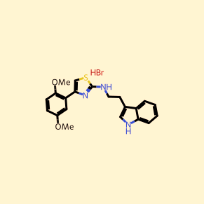 Br.COc1ccc(OC)c(-c2csc(NCCc3c[nH]c4ccccc34)n2)c1